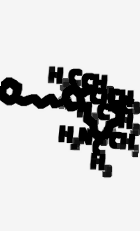 CC(C)C(C)CC[C@H](C)[C@@H](C)C(N)CCCC1C[C@@H](CCCCCC2CCCCC2)C[C@@H](C)C1C(C)C